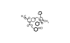 COC(=O)CN(C(=O)OCc1ccccc1)C1CCN(CC[C@@H](CN(C)S(=O)(=O)c2ccccc2)c2cccs2)CC1.Cl